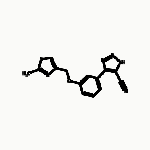 Cc1nc(COc2cccc(-c3nn[nH]c3C#N)c2)cs1